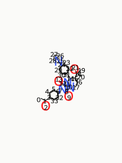 CC(=O)c1ccc(-n2c(=O)n3n(c2=O)C2C(=CC3)C(C)(C)Oc3cc(N4CCC4)ccc32)cc1